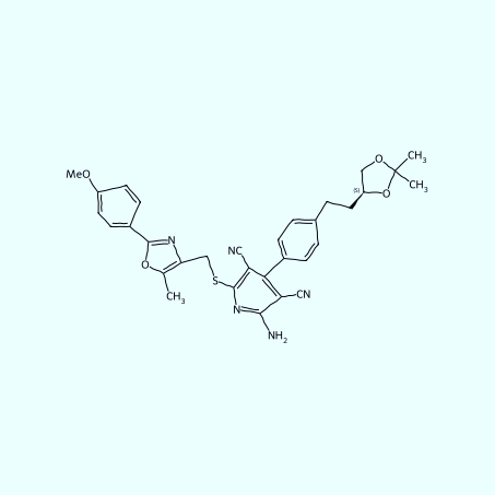 COc1ccc(-c2nc(CSc3nc(N)c(C#N)c(-c4ccc(CC[C@H]5COC(C)(C)O5)cc4)c3C#N)c(C)o2)cc1